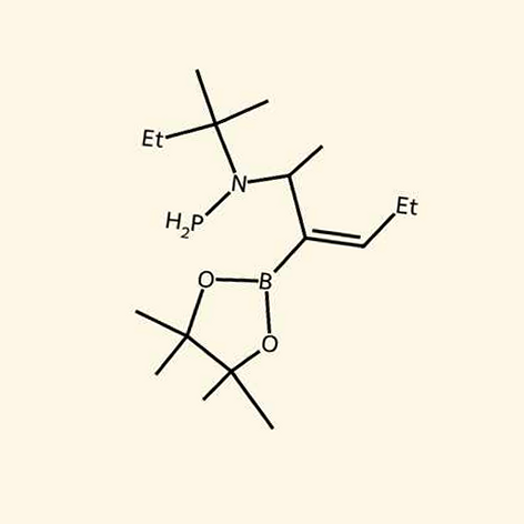 CC/C=C(/B1OC(C)(C)C(C)(C)O1)C(C)N(P)C(C)(C)CC